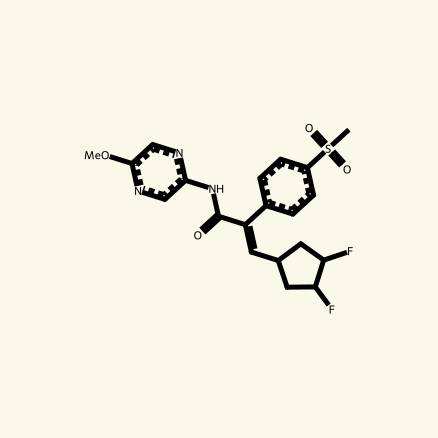 COc1cnc(NC(=O)/C(=C/C2CC(F)C(F)C2)c2ccc(S(C)(=O)=O)cc2)cn1